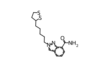 NC(=O)c1cccc2cn(CCCCCC3CCSS3)nc12